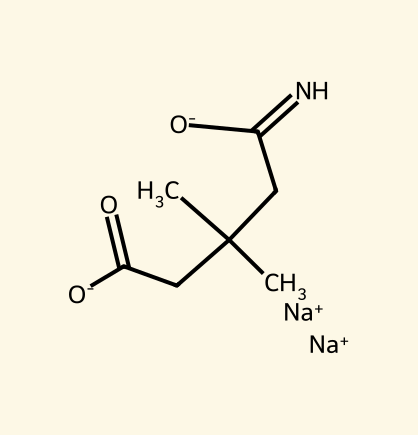 CC(C)(CC(=N)[O-])CC(=O)[O-].[Na+].[Na+]